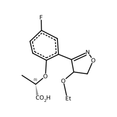 CCOC1CON=C1c1cc(F)ccc1O[C@@H](C)C(=O)O